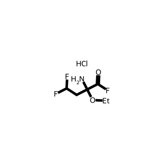 CCOC(N)(CC(F)F)C(=O)F.Cl